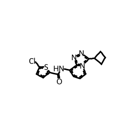 O=C(Nc1cccn2c(C3CCC3)nnc12)c1ccc(Cl)s1